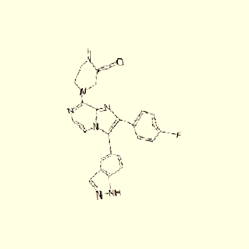 O=C1CN(c2nccn3c(-c4ccc5[nH]ncc5c4)c(-c4ccc(F)cc4)nc23)CCN1